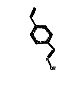 C=Cc1ccc(C=NO)cc1